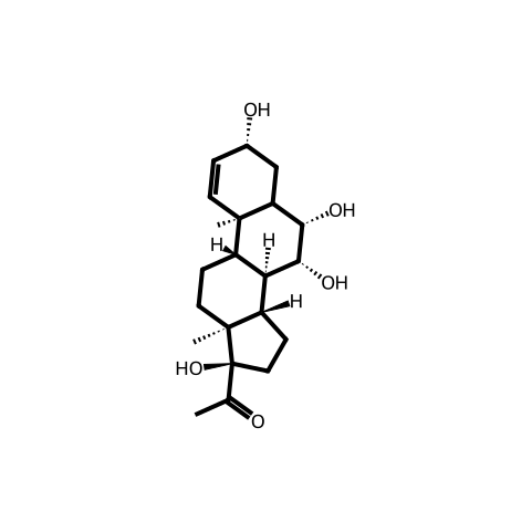 CC(=O)[C@@]1(O)CC[C@H]2[C@@H]3[C@@H](O)[C@@H](O)C4C[C@@H](O)C=C[C@]4(C)[C@H]3CC[C@@]21C